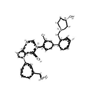 NCc1cccc(-n2cnc3ncn(-c4ccc(-c5ccccc5CN5CC[C@H](O)C5)cc4F)c(=O)c32)c1